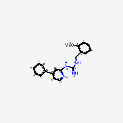 COc1ccccc1CNC(=N)Nc1cc(-c2ccccc2)ccn1